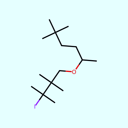 CC(CCC(C)(C)C)OCC(C)(C)C(C)(C)I